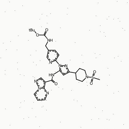 CC(C)(C)OC(=O)NCc1ccc(-n2nc(C3CCN(S(C)(=O)=O)CC3)cc2NC(=O)c2cnn3cccnc23)nc1